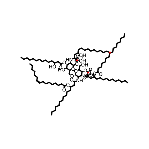 CCCCCC/C=C\CCCCCCCC(=O)OC(CCCCCCCCCCC)CC(=O)NC1[C@H](OCC2OC(OP(=O)(O)O)C(NC(=O)CC(O)CCCCCCCCCCC)[C@@H](OC(=O)CC(O)CCCCCCCCCCC)[C@@H]2O)OC(CO)[C@@H](OP(=O)(O)O)[C@@H]1OC(=O)CC(CCCCCCCCCCC)OC(=O)CCCCCCCCCCCCCCC